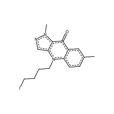 Cc1ccc2c(c1)c(=O)c1c(cnn1C)n2CCCCI